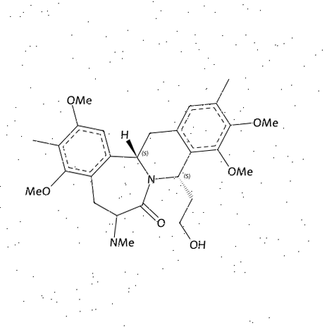 CNC1Cc2c(cc(OC)c(C)c2OC)[C@@H]2Cc3cc(C)c(OC)c(OC)c3[C@H](CCO)N2C1=O